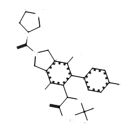 Cc1ccc(-c2c(C)c3c(c(C)c2C(OC(C)(C)C)C(=O)O)CN(C(=O)[C@H]2CCOC2)C3)cc1